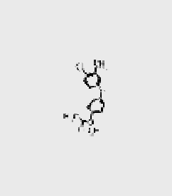 Cc1cc(Oc2ccc(OC(C)C(=O)O)cc2)ccc1Cl